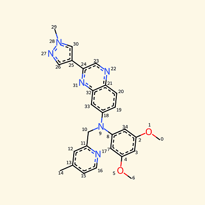 COc1cc(OC)cc(N(Cc2cc(C)ccn2)c2ccc3ncc(-c4cnn(C)c4)nc3c2)c1